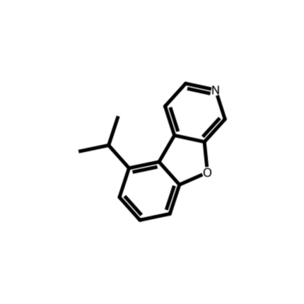 CC(C)c1cccc2oc3cnccc3c12